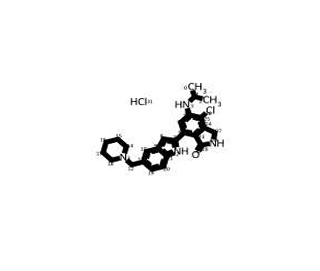 CC(C)Nc1cc(-c2cc3cc(CN4CCCCC4)ccc3[nH]2)c2c(c1Cl)CNC2=O.Cl